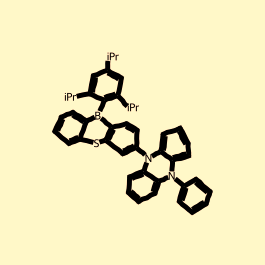 CC(C)c1cc(C(C)C)c(B2c3ccccc3Sc3cc(N4c5ccccc5N(c5ccccc5)c5ccccc54)ccc32)c(C(C)C)c1